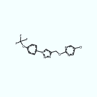 FC(F)(F)Oc1ccc(-n2cc(COc3ncc(Cl)cn3)nn2)cc1